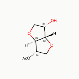 CC(=O)O[C@H]1CO[C@@H]2[C@@H]1OC[C@@H]2O